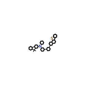 CC1(C)c2ccccc2-c2ccc(N(c3ccccc3)c3cccc(-c4cccc(-c5ccc6c(ccc7c8ccccc8sc67)c5)c4)c3)cc21